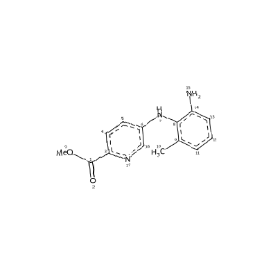 COC(=O)c1ccc(Nc2c(C)cccc2N)cn1